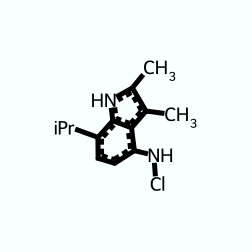 Cc1[nH]c2c(C(C)C)ccc(NCl)c2c1C